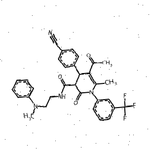 CC(=O)C1=C(C)N(c2cccc(C(F)(F)F)c2)C(=O)C(C(=O)NCCN(C)c2ccccc2)C1c1ccc(C#N)cc1